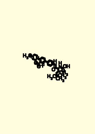 CC(CC(C)(C)C)C(NC(=O)O)C(=O)Nc1ccc(-c2ccc(N3CCN(C)CC3)c([N+](=O)[O-])c2F)cc1